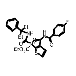 CCOC(=O)[N+]1(C(=O)NC(CC)(CC)c2ccccc2)N=C(NC(=O)c2ccc(F)cc2)c2ccsc21